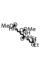 CCOC(CCCNC(=O)C(CCCCNC(=O)OC)NC(=O)OC)OCC